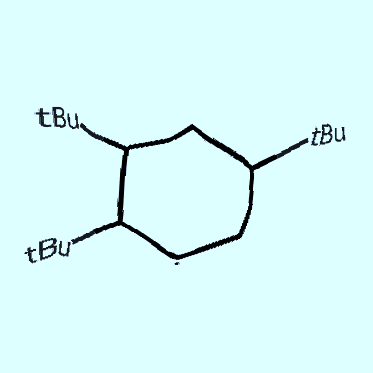 CC(C)(C)C1C[CH]C(C(C)(C)C)C(C(C)(C)C)C1